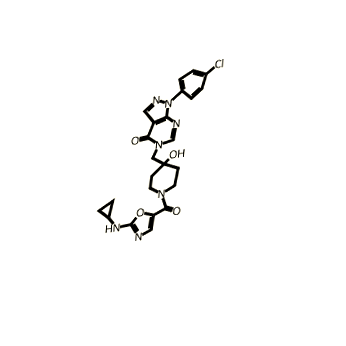 O=C(c1cnc(NC2CC2)o1)N1CCC(O)(Cn2cnc3c(cnn3-c3ccc(Cl)cc3)c2=O)CC1